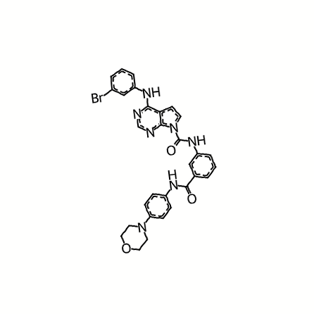 O=C(Nc1ccc(N2CCOCC2)cc1)c1cccc(NC(=O)n2ccc3c(Nc4cccc(Br)c4)ncnc32)c1